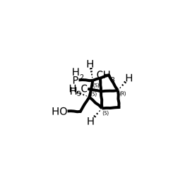 CC1(C)[C@H]2C[C@H](P)[C@H](CO)[C@@H]1C2